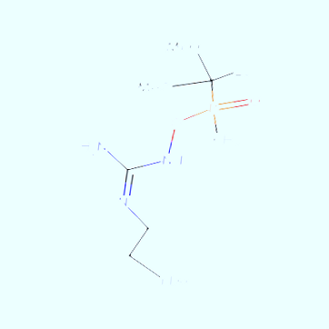 CCCCCCCCCCCCN=C(N)NOP(C)(=O)C(CC)(OC)OC